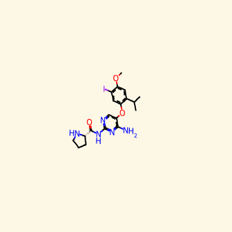 COc1cc(C(C)C)c(Oc2cnc(NC(=O)[C@@H]3CCCN3)nc2N)cc1I